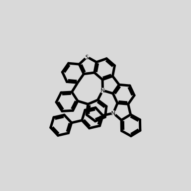 c1ccc(-c2ccc(-n3c4ccccc4c4ccc5c6ccc7sc8cccc9c%10ccccc%10c%10ccccc%10n(c6c7c89)c5c43)cc2)cc1